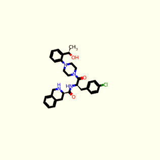 C[C@H](O)c1ccccc1N1CCN(C(=O)[C@@H](Cc2ccc(Cl)cc2)NC(=O)[C@H]2Cc3ccccc3CN2)CC1